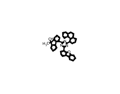 CC1(C)c2ccccc2-c2c(-c3nc(-c4cccc5c4oc4ccccc45)nc(-c4cccc5ccc6ccccc6c45)n3)cccc21